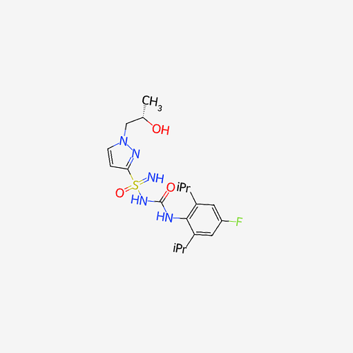 CC(C)c1cc(F)cc(C(C)C)c1NC(=O)NS(=N)(=O)c1ccn(C[C@H](C)O)n1